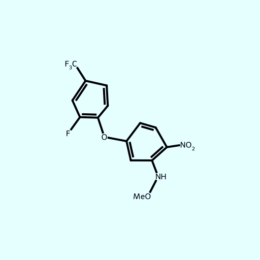 CONc1cc(Oc2ccc(C(F)(F)F)cc2F)ccc1[N+](=O)[O-]